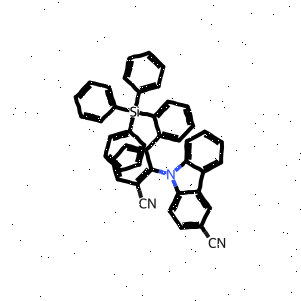 N#Cc1ccc2c(c1)c1ccccc1n2-c1c(C#N)cccc1-c1ccccc1[Si](c1ccccc1)(c1ccccc1)c1ccccc1